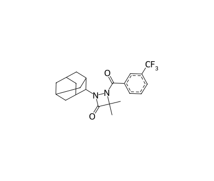 CC1(C)C(=O)N(C2C3CC4CC(C3)CC2C4)N1C(=O)c1cccc(C(F)(F)F)c1